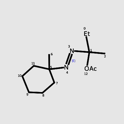 CCC(C)(/N=N/C1(C)CCCCC1)OC(C)=O